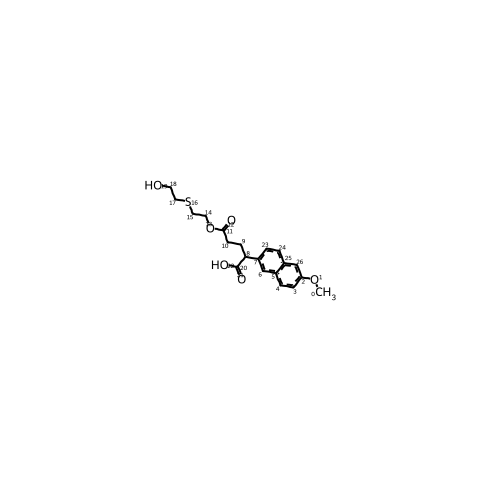 COc1ccc2cc(C(CCC(=O)OCCSCCO)C(=O)O)ccc2c1